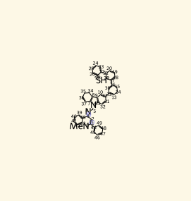 CN/C(=C\C(=N/Cn1c2c(c3cc(C4=CCCC(C5=CC=CC(c6ccccc6S)C5)=C4)ccc31)CCC=C2)c1ccccc1)c1ccccc1